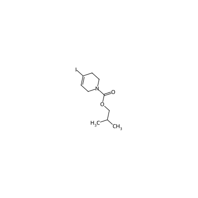 CC(C)COC(=O)N1CC=C(I)CC1